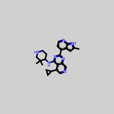 Cc1cc2c(-c3nc(NC4CCNCC4(C)C)c4c(C5CC5)cncc4n3)ccnc2[nH]1